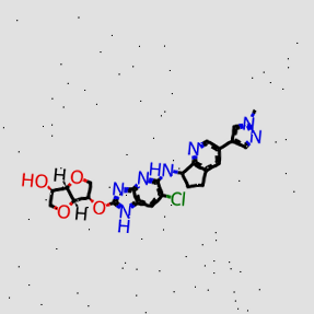 Cn1cc(-c2cnc3c(c2)CCC3Nc2nc3nc(O[C@@H]4CO[C@H]5[C@@H]4OC[C@H]5O)[nH]c3cc2Cl)cn1